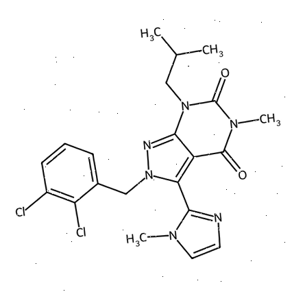 CC(C)Cn1c(=O)n(C)c(=O)c2c(-c3nccn3C)n(Cc3cccc(Cl)c3Cl)nc21